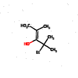 CCC(C)(C)C(O)=C(C)C(=O)O